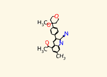 COC1(c2ccc(-c3cc4c(C(C)=O)cc(C)cc4nc3C#N)cc2)CCOCC1